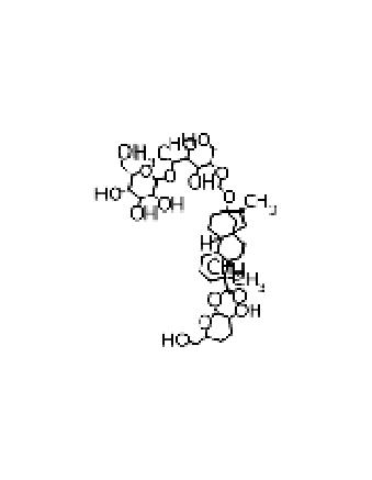 C=C1C[C@@]23CC[C@H]4[C@@](C)(CCC[C@@]4(C)C(=O)O[C@@H]4OC(CO)CCC4O)[C@@H]2CC[C@]1(OCO[C@H](CO)C(O)C(O)[C@H](C)O[C@@H]1O[C@@H](CO)[C@@H](O)C(O)C1O)C3